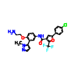 Cn1nccc1-c1cc(NC(=O)c2cc(-c3ccc(Cl)cc3)oc2C(F)(F)F)ccc1OCCN